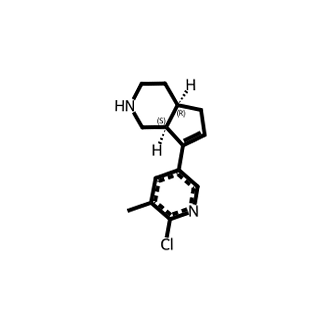 Cc1cc(C2=CC[C@@H]3CCNC[C@H]23)cnc1Cl